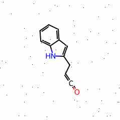 O=C=CCc1cc2ccccc2[nH]1